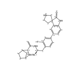 C=C(N[C@H](C#N)Cc1ccc(-c2ccc3c(c2)C2(CCNC2)C(=O)N3)cc1F)C1NC2CCC1C2